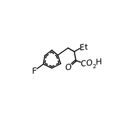 CCC(Cc1ccc(F)cc1)C(=O)C(=O)O